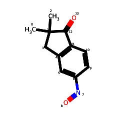 CC1(C)Cc2cc(N=O)ccc2C1=O